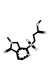 COC(=O)CCS(=O)(=O)c1nccc2c1CN(C)C2=O